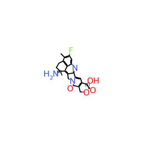 Cc1c(F)cc2nc3c(c4c2c1CC[C@@]4(C)N)Cn1c-3cc2c(c1=O)COC(=O)[C@H]2O